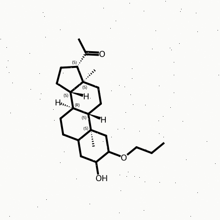 CCCOC1C[C@@]2(C)C(CC[C@H]3[C@@H]4CC[C@H](C(C)=O)[C@@]4(C)CC[C@@H]32)CC1O